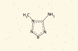 Cn1nbnc1N